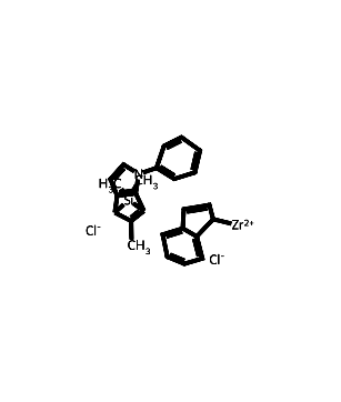 CC1=C2c3c(ccn3-c3ccccc3)C1[Si]2(C)C.[Cl-].[Cl-].[Zr+2][CH]1C=Cc2ccccc21